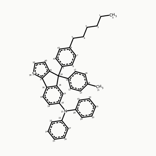 CCCCCCc1ccc(C2(c3ccc(C)cc3)c3cc(N(c4ccccc4)c4ccccc4)ccc3-c3sccc32)cc1